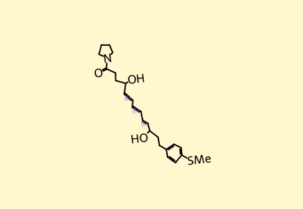 CSc1ccc(CCC(O)/C=C/C=C/C=C/C(O)CCC(=O)N2CCCC2)cc1